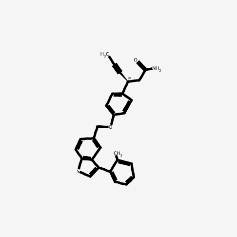 CC#C[C@@H](CC(N)=O)c1ccc(OCc2ccc3scc(-c4ccccc4C)c3c2)cc1